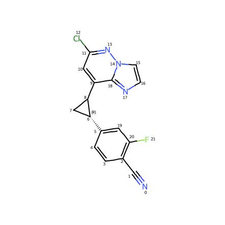 N#Cc1ccc([C@@H]2CC2c2cc(Cl)nn3ccnc23)cc1F